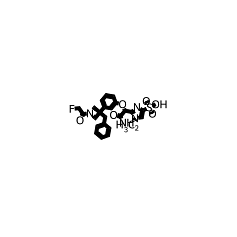 Cn1cc(S(=O)(=O)O)nc1C(Oc1cccc(C2(Cc3ccccc3)CN(C(=O)CF)C2)c1)C(N)=O